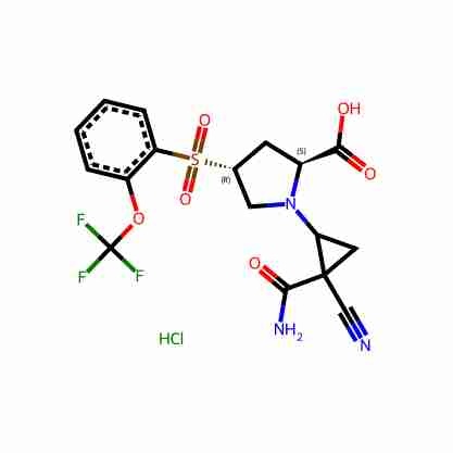 Cl.N#CC1(C(N)=O)CC1N1C[C@H](S(=O)(=O)c2ccccc2OC(F)(F)F)C[C@H]1C(=O)O